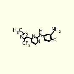 Cc1nc(C(F)(F)F)c(-c2ccnc(Nc3ccc(F)c(CN)c3)n2)s1